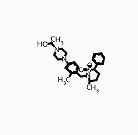 Cc1cc(N2CCN(C(C)O)CC2)ccc1CN1C(C)CCC(c2ccccc2)S1(=O)=O